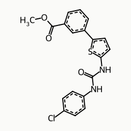 COC(=O)c1cccc(-c2ccc(NC(=O)Nc3ccc(Cl)cc3)s2)c1